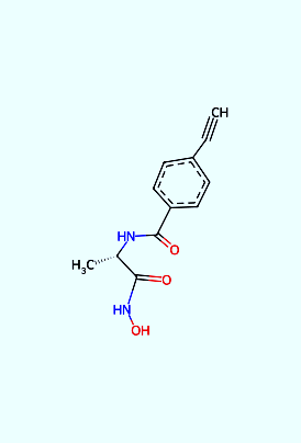 C#Cc1ccc(C(=O)N[C@@H](C)C(=O)NO)cc1